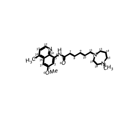 COc1cc(NC(=O)CCCCCN2CCCN(C)CC2)c2nccc(C)c2c1